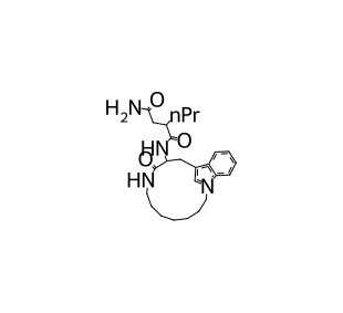 CCCC(CC(N)=O)C(=O)NC1Cc2cn(c3ccccc23)CCCCCCCNC1=O